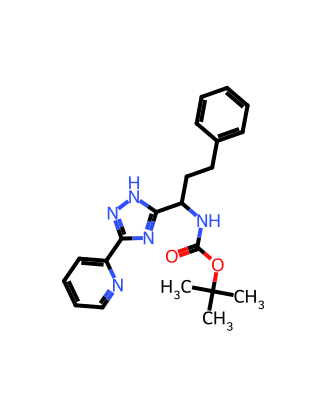 CC(C)(C)OC(=O)NC(CCc1ccccc1)c1nc(-c2ccccn2)n[nH]1